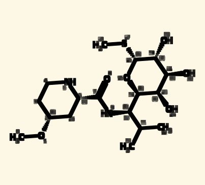 CO[C@@H]1CCN[C@H](C(=O)N[C@H](C(C)C)[C@H]2O[C@H](SC)[C@H](O)[C@@H](O)[C@H]2O)C1